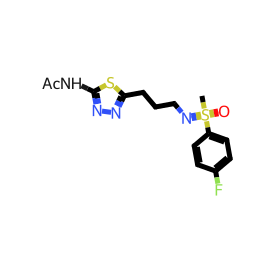 CC(=O)Nc1nnc(CCCN=S(C)(=O)c2ccc(F)cc2)s1